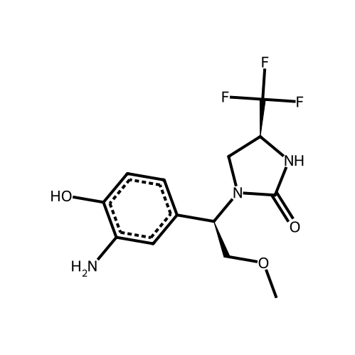 COC[C@@H](c1ccc(O)c(N)c1)N1C[C@@H](C(F)(F)F)NC1=O